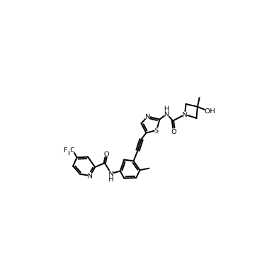 Cc1ccc(NC(=O)c2cc(C(F)(F)F)ccn2)cc1C#Cc1cnc(NC(=O)N2CC(C)(O)C2)s1